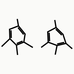 Cc1cc(C)c(C)c(C)c1.Cc1cc(C)c(C)c(C)c1